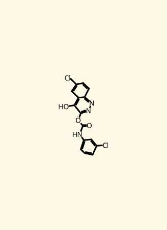 O=C(Nc1cccc(Cl)c1)Oc1nnc2ccc(Cl)cc2c1O